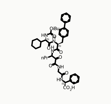 CCCC(NC(=O)[C@H](Cc1ccc(-c2ccccc2)cc1)NC(=O)[C@@H](NC(=O)OCC(C)C)C1CCCCC1)C(=O)C(=O)NCC(=O)N[C@H](C(=O)O)c1ccccc1